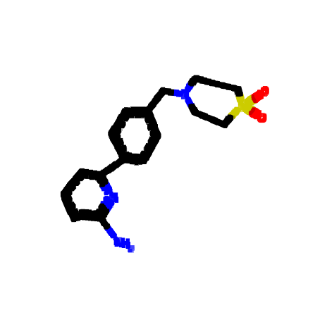 Nc1cccc(-c2ccc(CN3CCS(=O)(=O)CC3)cc2)n1